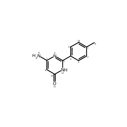 Cc1ccc(-c2nc(N)cc(=O)[nH]2)cc1